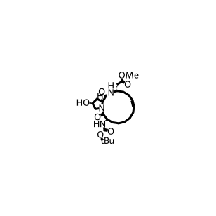 COC(=O)C[C@@H]1CCC=CCCCCC[C@H](NC(=O)OC(C)(C)C)C(=O)N2C[C@@H](O)C[C@H]2C(=O)N1